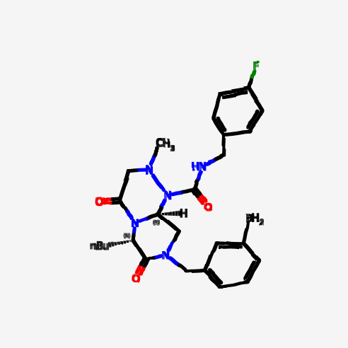 Bc1cccc(CN2C[C@H]3N(C(=O)CN(C)N3C(=O)NCc3ccc(F)cc3)[C@@H](CCCC)C2=O)c1